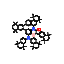 CC1(C)CCC(C)(C)c2cc(N3c4cc5c(cc4B4c6c3cc(-c3cc7c(cc3-c3ccccc3)C(C)(C)CCC7(C)C)cc6N(c3ccc6c(c3)C(C)(C)CCC6(C)C)c3oc6cc7c(cc6c34)C(C)(C)CCC7(C)C)C(C)(C)CCC5(C)C)ccc21